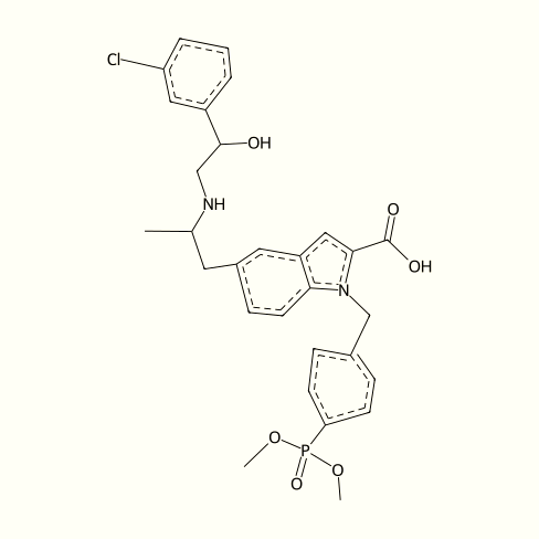 COP(=O)(OC)c1ccc(Cn2c(C(=O)O)cc3cc(CC(C)NCC(O)c4cccc(Cl)c4)ccc32)cc1